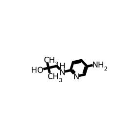 CC(C)(O)CNc1ccc(N)cn1